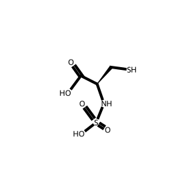 O=C(O)[C@@H](CS)NS(=O)(=O)O